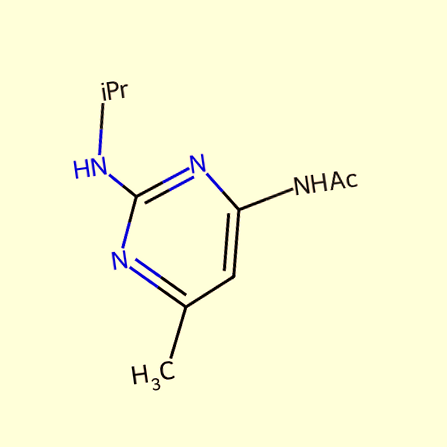 CC(=O)Nc1cc(C)nc(NC(C)C)n1